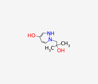 CC(C)(O)CN1C=CC(O)=CN1